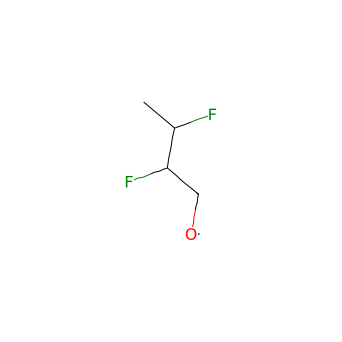 CC(F)C(F)C[O]